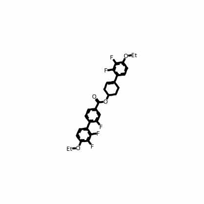 CCOc1ccc(C2=CCC(OC(=O)c3ccc(-c4ccc(OCC)c(F)c4F)c(F)c3)CC2)c(F)c1F